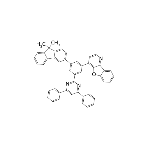 CC1(C)c2ccccc2-c2cc(-c3cc(-c4nc(-c5ccccc5)cc(-c5ccccc5)n4)cc(-c4ccnc5c4oc4ccccc45)c3)ccc21